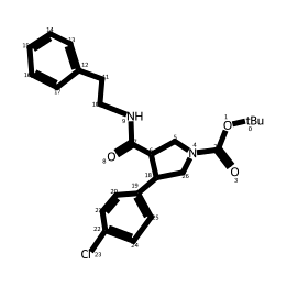 CC(C)(C)OC(=O)N1CC(C(=O)NCCc2ccccc2)C(c2ccc(Cl)cc2)C1